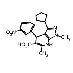 CC1=C(C(=O)O)C(c2cccc([N+](=O)[O-])c2)c2c(C3CCCC3)nn(C)c2N1